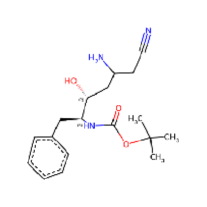 CC(C)(C)OC(=O)N[C@@H](Cc1ccccc1)[C@H](O)CC(N)CC#N